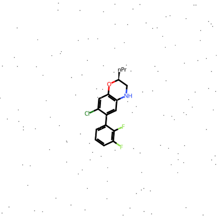 CCC[C@H]1CNc2cc(-c3cccc(F)c3F)c(Cl)cc2O1